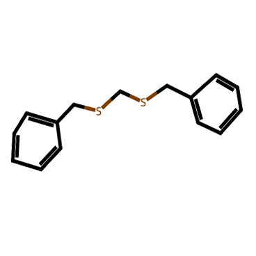 c1ccc(CSCSCc2ccccc2)cc1